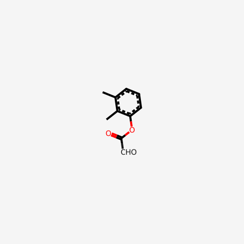 Cc1cccc(OC(=O)C=O)c1C